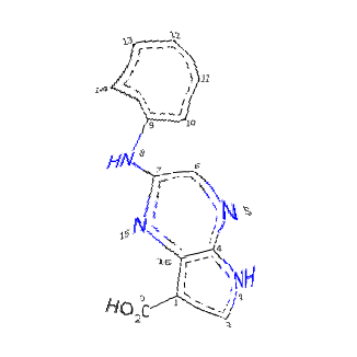 O=C(O)c1c[nH]c2ncc(Nc3ccccc3)nc12